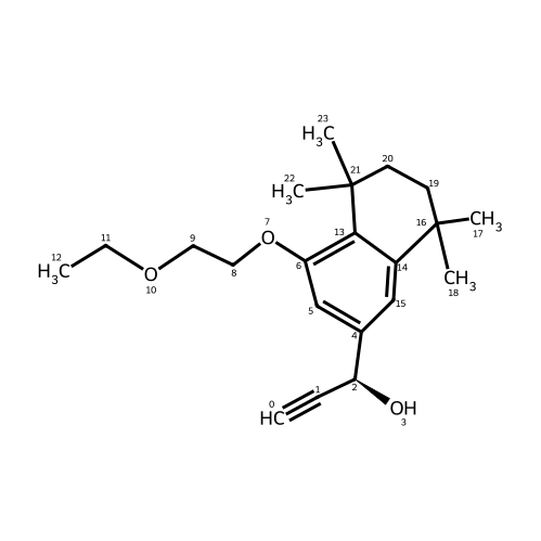 C#C[C@H](O)c1cc(OCCOCC)c2c(c1)C(C)(C)CCC2(C)C